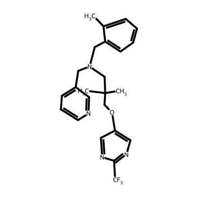 Cc1ccccc1CN(Cc1cccnc1)CC(C)(C)COc1cnc(C(F)(F)F)nc1